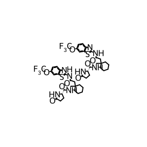 O=C(CC1(CNC(=O)[C@@H]2CCC(=O)N2)CCCCC1)Nc1nc2ccc(OC(F)(F)F)cc2s1.O=C(CC1(CNC(=O)[C@@H]2CCC(=O)N2)CCCCC1)Nc1nc2ccc(OC(F)(F)F)cc2s1